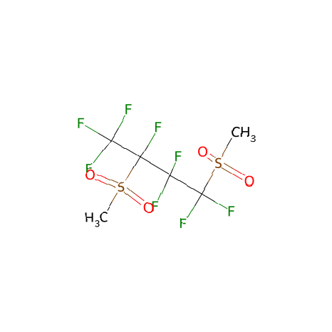 CS(=O)(=O)C(F)(F)C(F)(F)C(F)(C(F)(F)F)S(C)(=O)=O